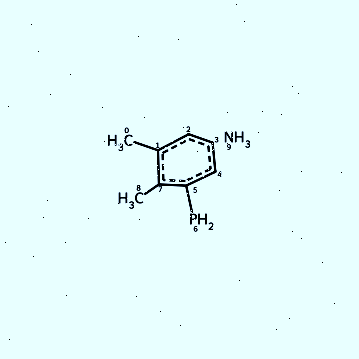 Cc1cccc(P)c1C.N